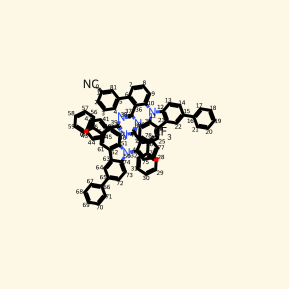 N#Cc1cccc(-c2cccc(-n3c4ccc(-c5ccccc5)cc4c4cc(-c5ccccc5)ccc43)c2-c2nc(-c3ccccc3)nc(-c3c(-n4c5ccc(-c6ccccc6)cc5c5cc(-c6ccccc6)ccc54)cccc3C(F)(F)F)n2)c1